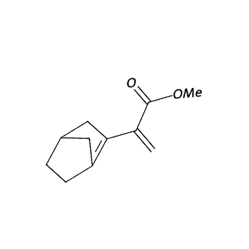 C=C(C(=O)OC)C1=C2CCC(C2)C1